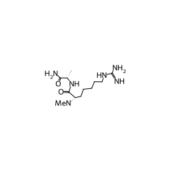 CN[C@@H](CCCCCNC(=N)N)C(=O)N[C@@H](C)C(N)=O